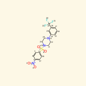 O=[N+]([O-])c1ccc(S(=O)(=O)N2CCN(c3cccc(C(F)(F)F)c3)CC2)cc1